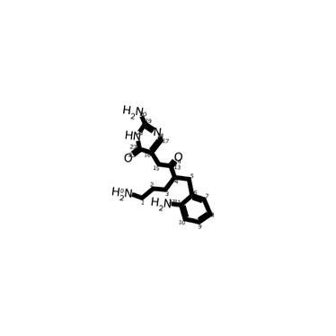 NCCCC(Cc1ccccc1N)C(=O)Cc1cnc(N)[nH]c1=O